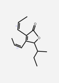 C/C=C\C1=C(/C=C\C)C(C(C)CC)OC1=O